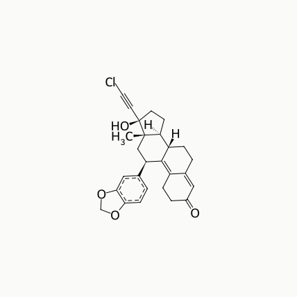 C[C@]12C[C@H](c3ccc4c(c3)OCO4)C3=C4CCC(=O)C=C4CC[C@H]3[C@@H]1CC[C@@]2(O)C#CCl